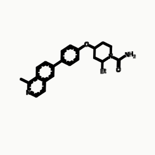 CCC1CC(Oc2ccc(-c3ccc4c(C)nccc4c3)cc2)CCN1C(N)=O